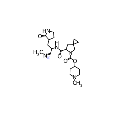 C/N=C\C(CC1CCNC1=O)NC(=O)C1CC2(CC2)CN1C(=O)OC1CCN(C)CC1